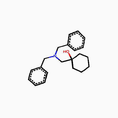 OC1(CN(Cc2ccccc2)Cc2ccccc2)CCCCC1